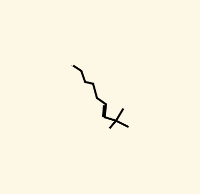 [CH2]CCCC/C=C/C(C)(C)C